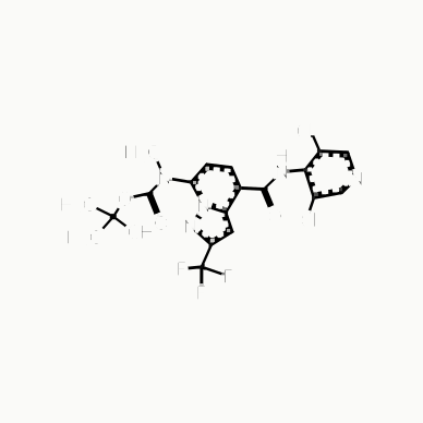 CN(C(=O)OC(C)(C)C)c1ccc(C(=O)Nc2c(Cl)cncc2Cl)c2cc(C(F)(F)F)nn12